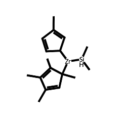 CC1=C[CH]([Zr]([SiH](C)C)[C]2(C)C=C(C)C(C)=C2C)C=C1